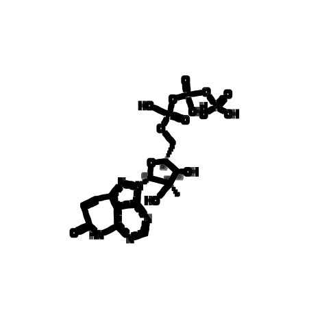 C[C@@]1(O)[C@H](O)[C@@H](COP(=O)(O)OP(=O)(O)OP(=O)(O)O)O[C@H]1n1nc2c3c(ncnc31)NC(=O)C=C2